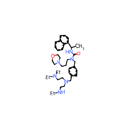 CCNCCN(CCN(CC)CC)Cc1ccc(CN(CCCN2CCOCC2)C(=O)NC(C)c2cccc3ccccc23)cc1